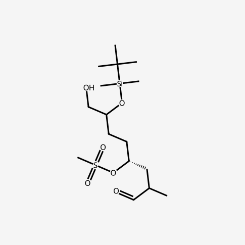 CC(C=O)C[C@@H](CCC(CO)O[Si](C)(C)C(C)(C)C)OS(C)(=O)=O